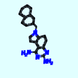 Nc1nc(N)c2c(ccc3c2ccn3Cc2ccc3ccccc3c2)n1